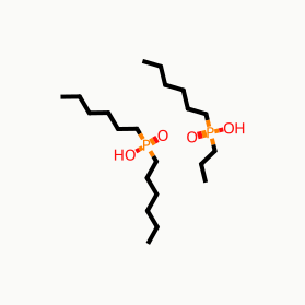 CCCCCCP(=O)(O)CCC.CCCCCCP(=O)(O)CCCCCC